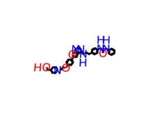 O=C(Nc1ccccc1)Nc1ccc(CCNc2ncnc3oc(-c4ccc(OCCN5CCC(CO)CC5)cc4)cc23)cc1